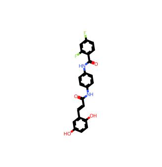 O=C(/C=C/c1cc(O)ccc1O)Nc1ccc(NC(=O)c2ccc(F)cc2F)cc1